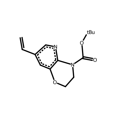 C=Cc1cnc2c(c1)OCCN2C(=O)OC(C)(C)C